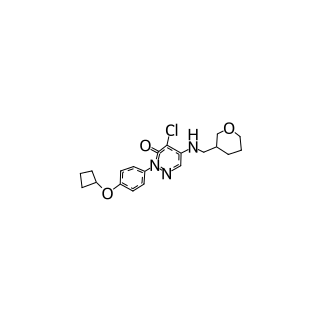 O=c1c(Cl)c(NCC2CCCOC2)cnn1-c1ccc(OC2CCC2)cc1